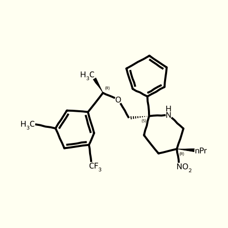 CCC[C@@]1([N+](=O)[O-])CC[C@@](CO[C@H](C)c2cc(C)cc(C(F)(F)F)c2)(c2ccccc2)NC1